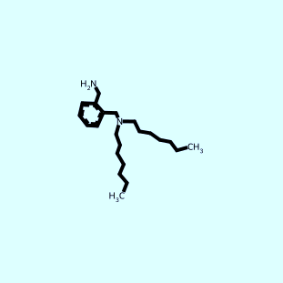 CCCCCCCN(CCCCCCC)Cc1ccccc1CN